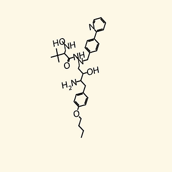 CCCCOc1ccc(CC(N)C(O)CN(Cc2ccc(-c3ccccn3)cc2)NC(=O)C(NO)C(C)(C)C)cc1